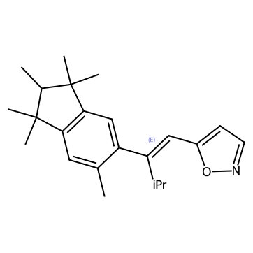 Cc1cc2c(cc1/C(=C/c1ccno1)C(C)C)C(C)(C)C(C)C2(C)C